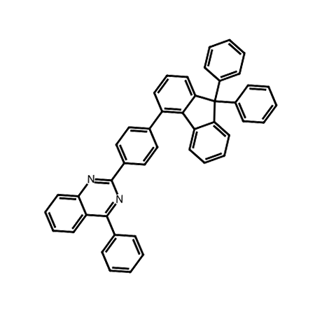 c1ccc(-c2nc(-c3ccc(-c4cccc5c4-c4ccccc4C5(c4ccccc4)c4ccccc4)cc3)nc3ccccc23)cc1